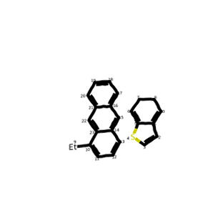 C1=c2ccsc2=CCC1.CCc1cccc2cc3ccccc3cc12